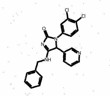 O=C1N=C(NCc2ccccc2)C(c2cccnc2)N1c1ccc(Cl)c(Cl)c1